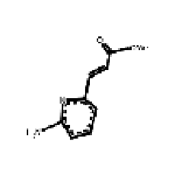 COC(=O)/C=C/c1cccc(N)n1